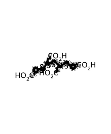 O=C(O)CCc1cc(-c2ccc(-c3cccc(CC(=O)O)c3)s2)sc1-c1ccc(-c2sc(-c3ccc(-c4cccc(CC(=O)O)c4)s3)cc2CCC(=O)O)s1